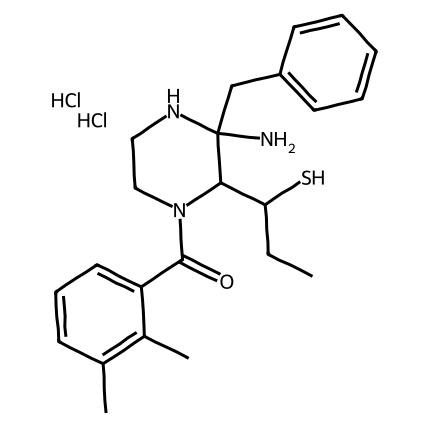 CCC(S)C1N(C(=O)c2cccc(C)c2C)CCNC1(N)Cc1ccccc1.Cl.Cl